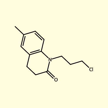 Cc1ccc2c(c1)CCC(=O)N2CCCCl